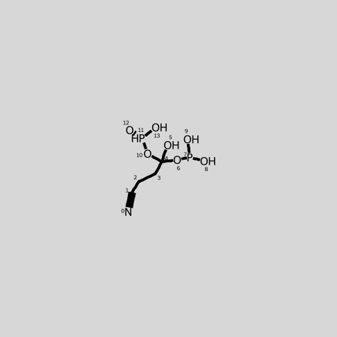 N#CCCC(O)(OP(O)O)O[PH](=O)O